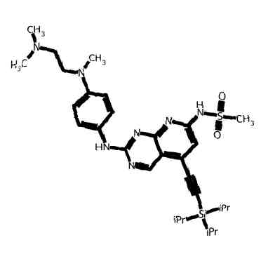 CC(C)[Si](C#Cc1cc(NS(C)(=O)=O)nc2nc(Nc3ccc(N(C)CCN(C)C)cc3)ncc12)(C(C)C)C(C)C